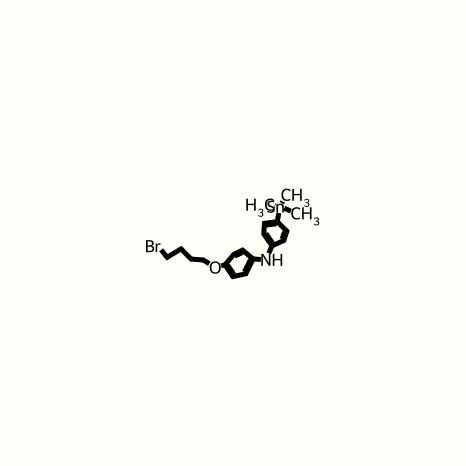 [CH3][Sn]([CH3])([CH3])[c]1ccc(Nc2ccc(OCCCCBr)cc2)cc1